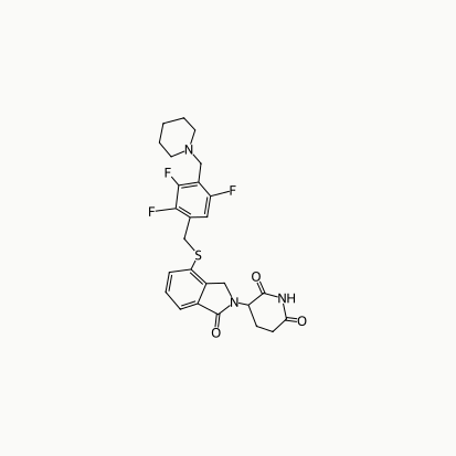 O=C1CCC(N2Cc3c(SCc4cc(F)c(CN5CCCCC5)c(F)c4F)cccc3C2=O)C(=O)N1